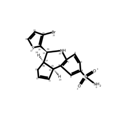 NS(=O)(=O)c1ccc2c(c1)[C@H]1C=CC[C@H]1[C@@H](c1sccc1Br)N2